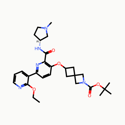 CCOc1ncccc1-c1ccc(OC2CC3(C2)CN(C(=O)OC(C)(C)C)C3)c(C(=O)N[C@@H]2CCN(C)C2)n1